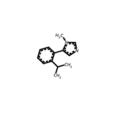 CC(C)c1ccccc1-c1cncn1C